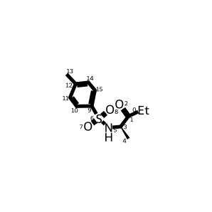 CCC(=O)[C@@H](C)NS(=O)(=O)c1ccc(C)cc1